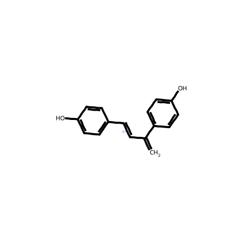 C=C(/C=C/c1ccc(O)cc1)c1ccc(O)cc1